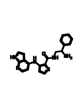 NC(CNC(=O)c1sccc1Nc1ccnc2[nH]ccc12)c1ccccc1